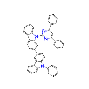 c1ccc(-c2cc(-c3ccccc3)nc(-n3c4ccccc4c4ccc(-c5ccc6c(c5)c5ccccc5n6-c5ccccc5)cc43)n2)cc1